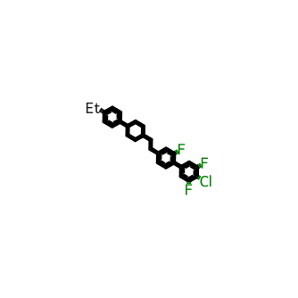 CCc1ccc(C2CCC(CCc3ccc(-c4cc(F)c(Cl)c(F)c4)c(F)c3)CC2)cc1